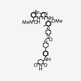 CNC(=O)c1ccccc1Nc1nc(Nc2cc(C)c(N3CCN(C(=O)CN4CCC(c5ccc(NC6CCC(=O)NC6=O)cc5)CC4)CC3)cc2OC)ncc1Br